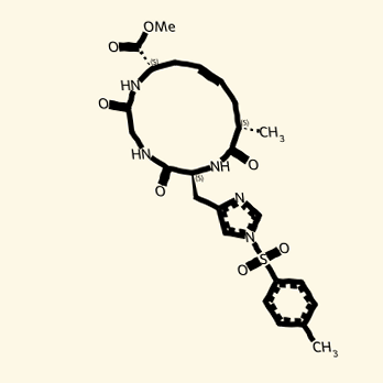 COC(=O)[C@@H]1CC=CC[C@H](C)C(=O)N[C@@H](Cc2cn(S(=O)(=O)c3ccc(C)cc3)cn2)C(=O)NCC(=O)N1